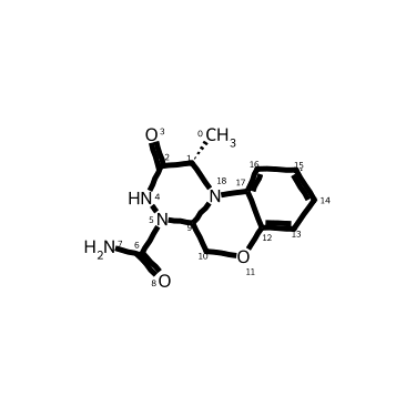 C[C@H]1C(=O)NN(C(N)=O)C2COc3cc[c]cc3N21